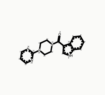 O=C(c1c[nH]c2ccccc12)N1CCN(c2ncccn2)CC1